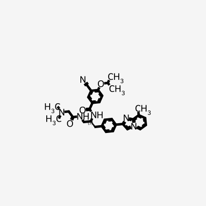 Cc1cccn2cc(-c3ccc(C[C@@H](CNC(=O)CN(C)C)NC(=O)c4ccc(OC(C)C)c(C#N)c4)cc3)nc12